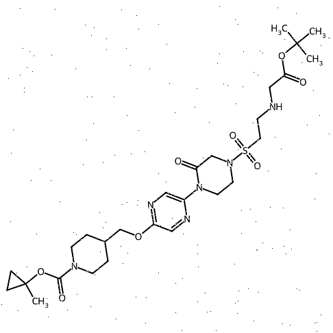 CC(C)(C)OC(=O)CNCCS(=O)(=O)N1CCN(c2cnc(OCC3CCN(C(=O)OC4(C)CC4)CC3)cn2)C(=O)C1